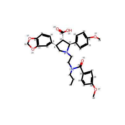 CCCN(CCN1C[C@H](c2ccc3c(c2)OCO3)[C@H](C(=O)O)[C@H]1c1ccc(OC)cc1)C(=O)c1ccc(OC)cc1